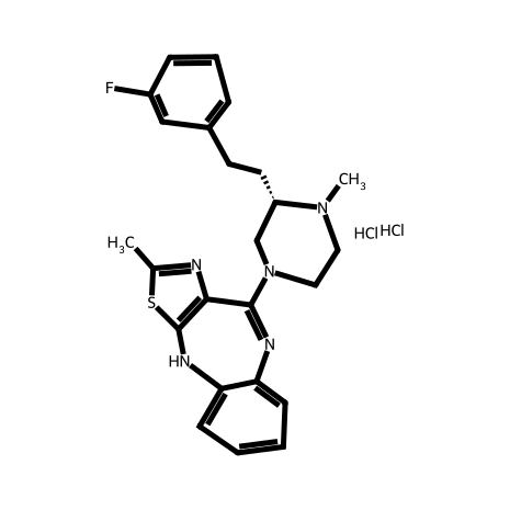 Cc1nc2c(s1)Nc1ccccc1N=C2N1CCN(C)[C@@H](CCc2cccc(F)c2)C1.Cl.Cl